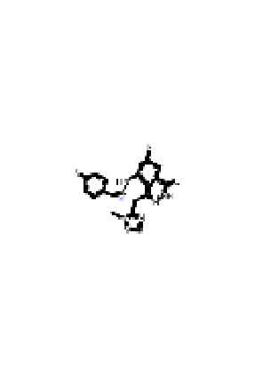 Cn1ncnc1Cc1n[nH]c(=O)c2cc(F)cc(N/N=C\c3ccc(F)cc3)c12